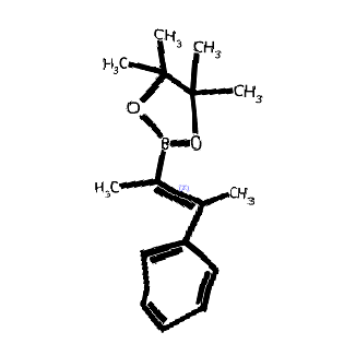 C/C(B1OC(C)(C)C(C)(C)O1)=C(/C)c1ccccc1